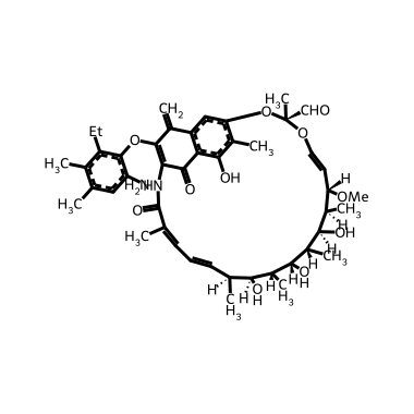 C=C1C(Oc2c(N)cc(C)c(C)c2CC)=C2NC(=O)/C(C)=C\C=C\[C@H](C)[C@H](O)[C@@H](C)[C@@H](O)[C@@H](C)[C@H](O)[C@H](C)[C@@H](OC)/C=C/O[C@](C)(C=O)Oc3cc1c(c(O)c3C)C2=O